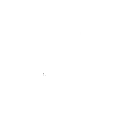 [O-][n+]1ccccc1CCOCCCCCCBr